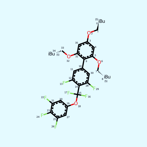 CC[C@H](C)COc1cc(OC[C@@H](C)CC)c(-c2cc(F)c(C(F)(F)Oc3cc(F)c(F)c(F)c3)c(F)c2)c(OC[C@@H](C)CC)c1